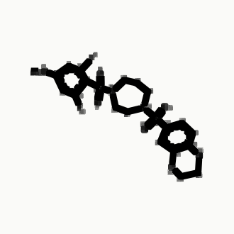 COc1cc(F)c(S(=O)(=O)N2CCCN(S(=O)(=O)c3ccc4c(c3)OCCO4)CC2)c(F)c1